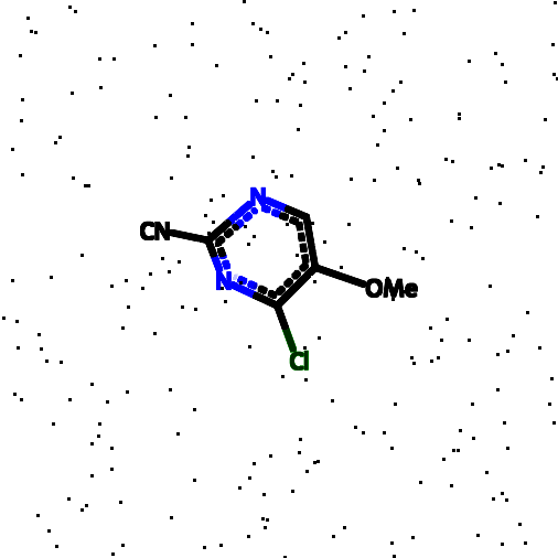 [C-]#[N+]c1ncc(OC)c(Cl)n1